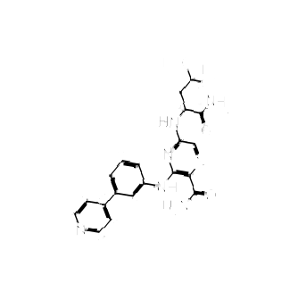 CC(C)CC(Nc1cnc(C(N)=O)c(Nc2cccc(-c3ccncc3)c2)n1)C(N)=O